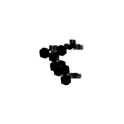 CCCCC(CC)COc1ccc(-c2nc(-c3ccccc3)cc(-c3ccc4ccc5c(-c6ccccc6OC)ccc6ccc3c4c65)n2)c(O)c1